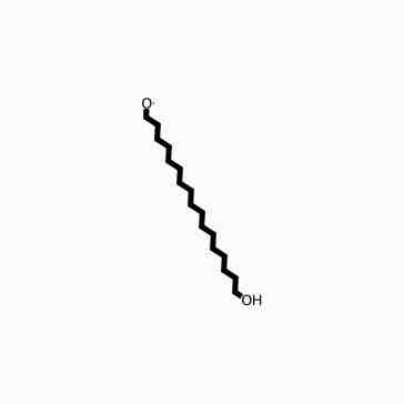 [O]CCCCCCCCCCCCCCCCCO